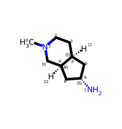 CN1CC[C@H]2C[C@H](N)C[C@H]2C1